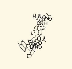 C=C(C)C(=O)OCC(NC(=O)Oc1ccc2ccccc2c1-c1c(CCCCCCc2ccc3ccccc3c2-c2c(OC(=O)NC(COC(=O)C(=C)C)OC(N)=O)ccc3ccccc23)ccc2ccccc12)OC(N)=O